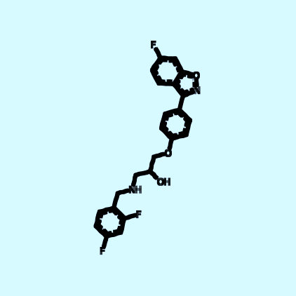 OC(CNCc1ccc(F)cc1F)COc1ccc(-c2noc3cc(F)ccc23)cc1